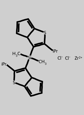 CC(C)C1=C([Si](C)(C)C2=C(C(C)C)SC3=CC=CC32)C2C=CC=C2S1.[Cl-].[Cl-].[Zr+2]